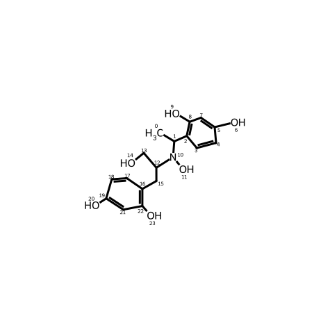 CC(c1ccc(O)cc1O)N(O)C(CO)Cc1ccc(O)cc1O